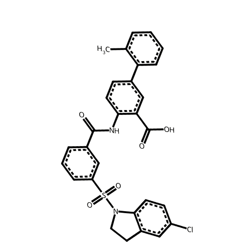 Cc1ccccc1-c1ccc(NC(=O)c2cccc(S(=O)(=O)N3CCc4cc(Cl)ccc43)c2)c(C(=O)O)c1